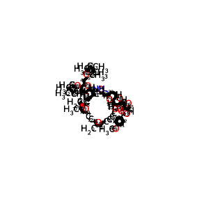 C=C1CC2CCCCO[C@@H]3[C@H]4OC56O[C@@H](c7ccc(OC)cc7)O[C@H]5CO[C@@H]6[C@@H]4O[C@H]4CC[C@H](CC(=O)C[C@@H]5[C@@H](N)[C@@H]6OC(CCO[Si](C)(C)C(C)(C)C)C(O[Si](C)(C)C(C)(C)C)C[C@@H]6O[C@H]5C[C@H]5OC(CCC1O2)C[C@@H](C)C5=C)O[C@H]34